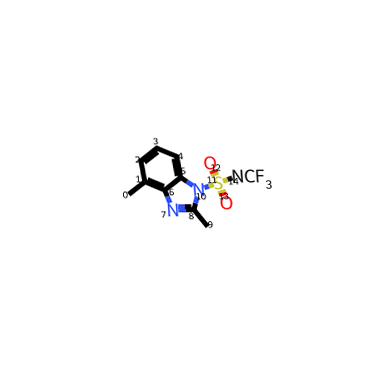 Cc1cccc2c1nc(C)n2S(=O)(=O)NC(F)(F)F